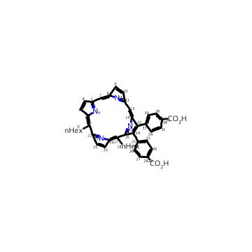 CCCCCCC1=C2C=CC(=N2)C=C2C=CC(=N2)C=C2N=C(C(CCCCCC)=C3C=CC1=N3)C(c1ccc(C(=O)O)cc1)=C2c1ccc(C(=O)O)cc1